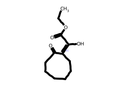 CCOC(=O)/C(O)=C1/CCCCCCC1=O